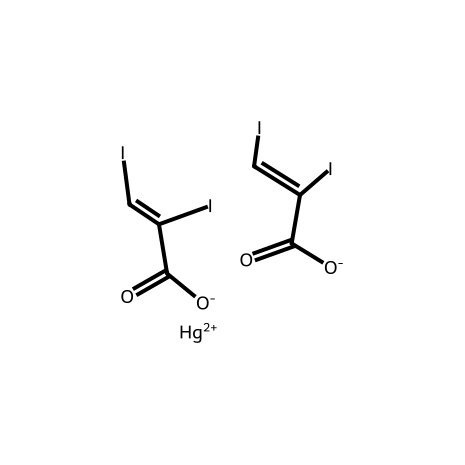 O=C([O-])/C(I)=C/I.O=C([O-])/C(I)=C/I.[Hg+2]